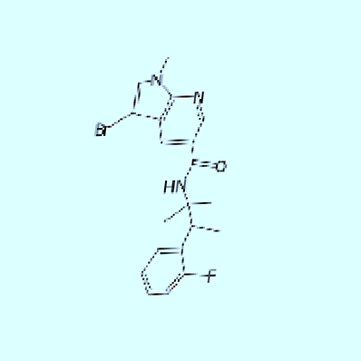 CC(c1ccccc1F)C(C)(C)NC(=O)c1cnc2c(c1)c(Br)cn2C